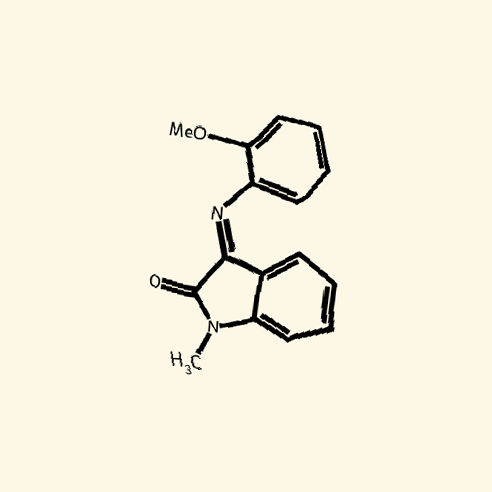 COc1ccccc1N=C1C(=O)N(C)c2ccccc21